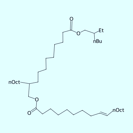 CCCCCCCCC=CCCCCCCCC(=O)OCC(CCCCCCCC)CCCCCCCCC(=O)OCC(CC)CCCC